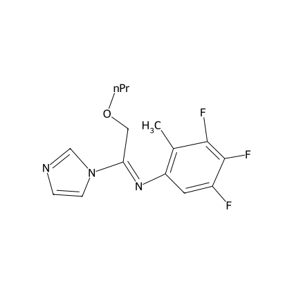 CCCOCC(=Nc1cc(F)c(F)c(F)c1C)n1ccnc1